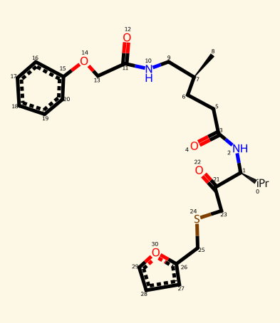 CC(C)[C@H](NC(=O)CC[C@H](C)CNC(=O)COc1ccccc1)C(=O)CSCc1ccco1